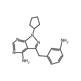 Nc1cccc(Cc2nn(C3CCCC3)c3ncnc(N)c23)c1